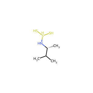 CC(C)[C@@H](C)N[SH](S)S